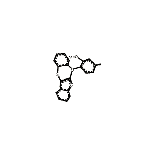 COc1cc(C)ccc1N1c2ccccc2Sc2c1oc1ccccc21